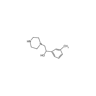 Cc1cccc(C(O)CN2CCNCC2)c1